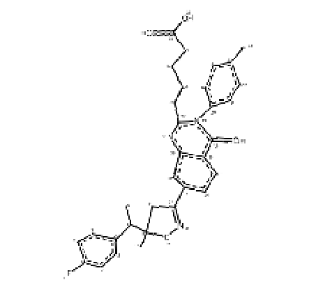 CC(c1ccc(F)cc1)C1(C)CC(c2ccc3c(=O)n(-c4ccc(F)cc4)c(CCCCC(=O)O)nc3c2)=NO1